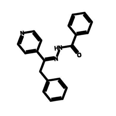 O=C(NN=C(Cc1ccccc1)c1ccncc1)c1ccccc1